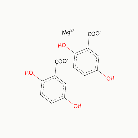 O=C([O-])c1cc(O)ccc1O.O=C([O-])c1cc(O)ccc1O.[Mg+2]